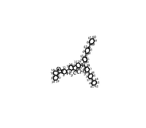 CC1(C)c2cc(-c3ccc4c(c3)oc3ccc5ccccc5c34)ccc2-c2ccc(N(c3ccc(-c4ccc(-c5ccccc5)cc4)cc3)c3ccc(-c4ccc(-c5ccccc5)cc4)cc3)cc21